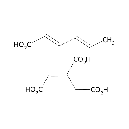 C/C=C/C=C/C(=O)O.O=C(O)C=C(CC(=O)O)C(=O)O